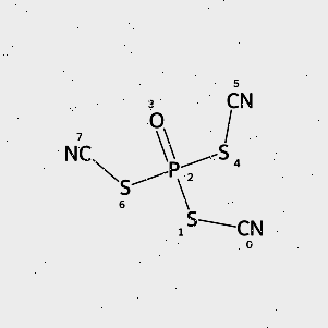 N#CSP(=O)(SC#N)SC#N